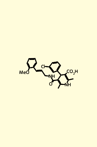 COc1ccccc1C=CCNC(=O)C1=C(C)NC(C)=C(C(=O)O)C1c1cccc(Cl)c1